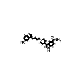 N#Cc1ccc2[nH]cc(CCCCN3CCC(c4c[nH]c5ccc(C(N)=O)cc45)CC3)c2c1